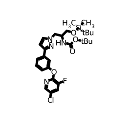 CC(C)(C)OC(=O)NC(CO[Si](C)(C)C(C)(C)C)Cn1ccc(-c2cccc(Oc3ncc(Cl)cc3F)c2)n1